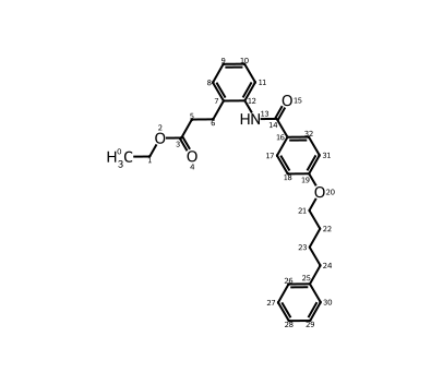 CCOC(=O)CCc1ccccc1NC(=O)c1ccc(OCCCCc2ccccc2)cc1